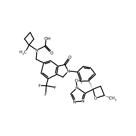 C[C@H]1C[C@](c2cccc(N3Cc4c(cc(CN(C(=O)O)C5(C)CCC5)cc4C(F)(F)F)C3=O)c2)(c2nncn2C)O1